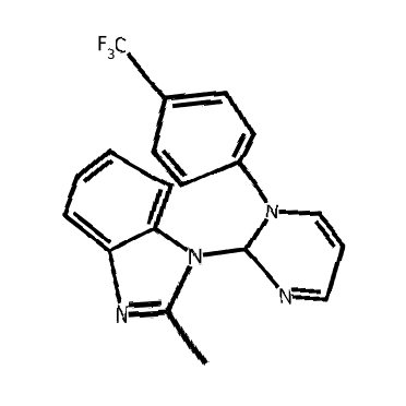 Cc1nc2ccccc2n1C1N=CC=CN1c1ccc(C(F)(F)F)cc1